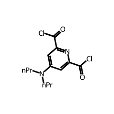 CCCN(CCC)c1cc(C(=O)Cl)nc(C(=O)Cl)c1